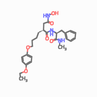 CCOc1ccc(OCCCC[C@H](CC(=O)NO)C(=O)N[C@@H](Cc2ccccc2)C(=O)NC)cc1